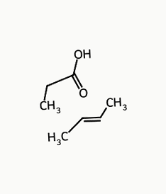 CC=CC.CCC(=O)O